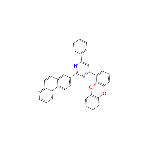 C1=CC2=C(CC1)Oc1cccc(-c3cc(-c4ccccc4)nc(-c4ccc5c(ccc6ccccc65)c4)n3)c1O2